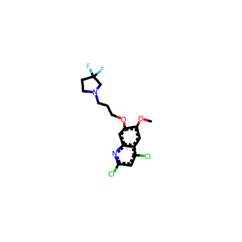 COc1cc2c(Cl)cc(Cl)nc2cc1OCCCN1CCC(F)(F)C1